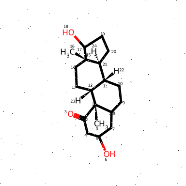 C[C@]12C(=O)CC(O)CC1CC[C@@H]1[C@H]2CC[C@]2(C)C(O)CC[C@@H]12